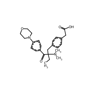 CCC(Cc1ccc(CC(=O)O)cc1)(C(=O)c1ccc(N2CCOCC2)cc1)N(C)C